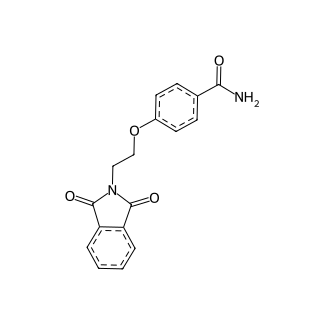 NC(=O)c1ccc(OCCN2C(=O)c3ccccc3C2=O)cc1